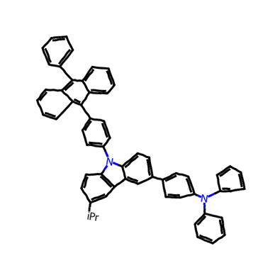 CC(C)c1ccc2c(c1)c1cc(-c3ccc(N(c4ccccc4)c4ccccc4)cc3)ccc1n2-c1ccc(-c2c3ccccc3c(-c3ccccc3)c3ccccc23)cc1